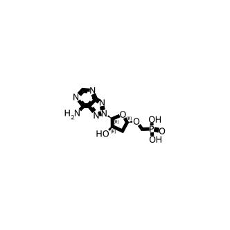 Nc1ncnc2nn([C@@H]3O[C@H](OCP(=O)(O)O)C[C@H]3O)nc12